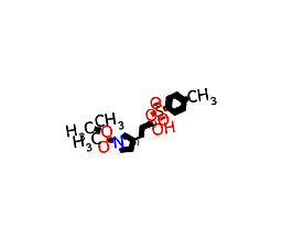 Cc1ccc(S(=O)(=O)O[C@H](O)CC[C@H]2CCN(C(=O)OC(C)(C)C)C2)cc1